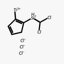 ClC(Cl)[SiH2]C1=[C]([Ti+3])C=CC1.[Cl-].[Cl-].[Cl-]